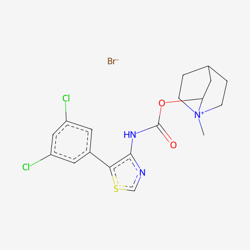 C[N+]12CCC(CC1)CC2OC(=O)Nc1ncsc1-c1cc(Cl)cc(Cl)c1.[Br-]